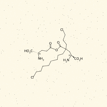 N[C@@H](CCC(=O)OC(=O)C(CCCCl)(CCCCCCCCCl)C[C@H](N)C(=O)O)C(=O)O